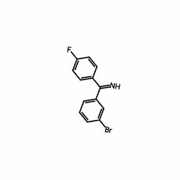 N=C(c1ccc(F)cc1)c1cccc(Br)c1